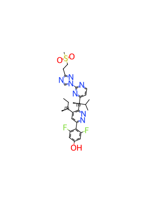 CC[C@H](C)c1cc(-c2c(F)cc(O)cc2F)nnc1[C@](C)(c1ccnc(-n2cnc(CCS(C)(=O)=O)n2)n1)C(C)C